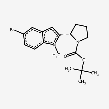 Cn1c([C@@H]2CCCN2C(=O)OC(C)(C)C)cc2cc(Br)ccc21